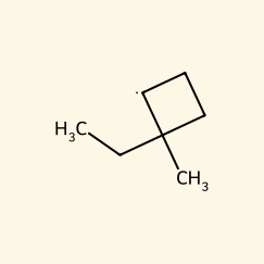 CCC1(C)[CH]CC1